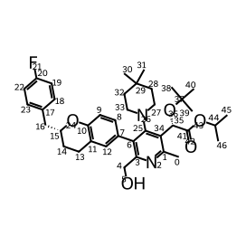 Cc1nc(CO)c(-c2ccc3c(c2)CC[C@H](Cc2ccc(F)cc2)O3)c(N2CCC(C)(C)CC2)c1[C@H](OC(C)(C)C)C(=O)OC(C)C